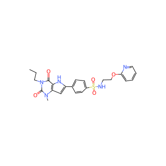 CCCn1c(=O)c2[nH]c(-c3ccc(S(=O)(=O)NCCOc4ccccn4)cc3)cc2n(C)c1=O